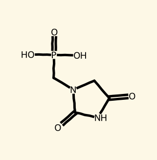 O=C1CN(CP(=O)(O)O)C(=O)N1